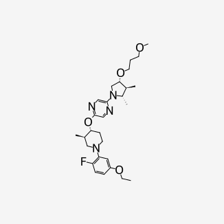 CCOc1ccc(F)c(N2CC[C@@H](Oc3cnc(N4C[C@H](OCCCOC)[C@@H](C)[C@@H]4C)cn3)[C@H](C)C2)c1